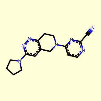 N#Cc1nccc(N2CCc3nnc(N4CCCC4)cc3C2)n1